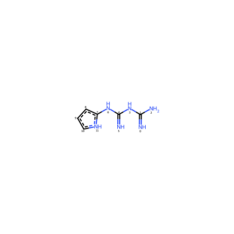 N=C(N)NC(=N)Nc1ccc[nH]1